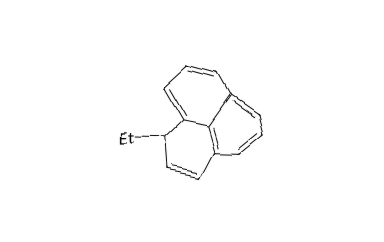 [CH2]CC1C=Cc2cccc3cccc1c23